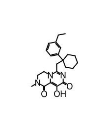 CCc1cccc(C2(Cc3nc(=O)c(O)c4n3CCN(C)C4=O)CCCCC2)c1